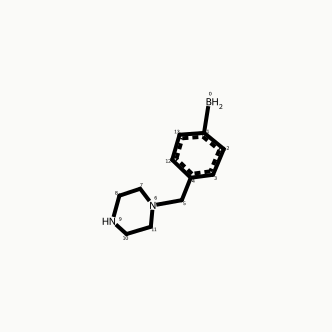 Bc1ccc(CN2CCNCC2)cc1